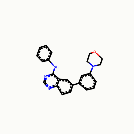 c1ccc(Nc2ncnc3ccc(-c4cccc(N5CCOCC5)c4)cc23)cc1